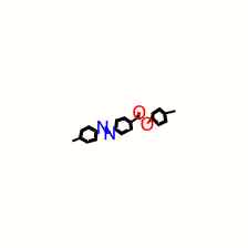 Cc1ccc(N=Nc2ccc(C(=O)Oc3ccc(C)cc3)cc2)cc1